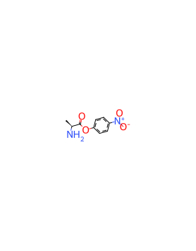 C[C@H](N)C(=O)Oc1ccc([N+](=O)[O-])cc1